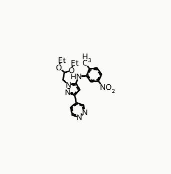 CCOC(Cn1nc(-c2ccnnc2)cc1Nc1cc([N+](=O)[O-])ccc1C)OCC